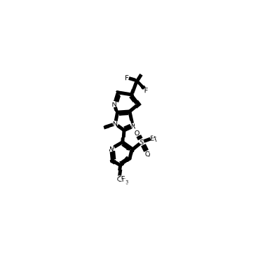 CCS(=O)(=O)c1cc(C(F)(F)F)cnc1-c1nc2cc(C(C)(F)F)cnc2n1C